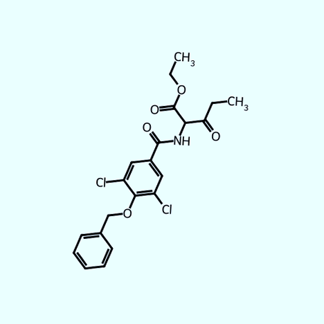 CCOC(=O)C(NC(=O)c1cc(Cl)c(OCc2ccccc2)c(Cl)c1)C(=O)CC